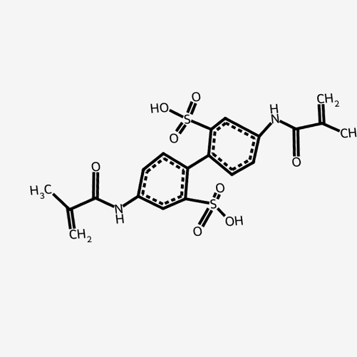 C=C(C)C(=O)Nc1ccc(-c2ccc(NC(=O)C(=C)C)cc2S(=O)(=O)O)c(S(=O)(=O)O)c1